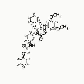 COc1cc(Nc2nc3ccccc3nc2N(c2cccc(NC(=O)COc3ccccc3)c2)[SH](=O)=O)cc(OC)c1